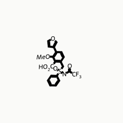 COc1c(-c2ccoc2)ccc(CS(=O)(=NC(=O)C(F)(F)F)c2ccccc2)c1C(=O)O